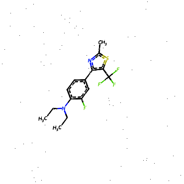 CCN(CC)c1ccc(-c2nc(C)sc2C(F)(F)F)cc1F